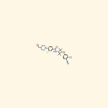 CC1(C)[C@H](NC(=O)c2ccc(N3CCC(C=O)CC3)c(F)c2)C(C)(C)[C@H]1Oc1ccc(C#N)c(Cl)c1